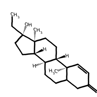 CC[C@]1(O)CC[C@H]2[C@@H]3CCC4CC(=O)C=C[C@]4(C)[C@H]3CC[C@@]21C